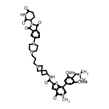 COc1cc(-c2cn(C)c(=O)c3cc(C(=O)NC4CC5(C4)CN(CCCN4CCN(c6ccc7c(c6)C(=O)N(C6CCC(=O)NC6=O)C7=O)CC4)C5)sc23)cc(OC)c1CN(C)C